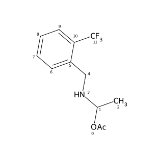 CC(=O)OC(C)NCc1ccccc1C(F)(F)F